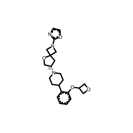 c1ccc(C2CCN([C@@H]3COC4(C3)CN(c3ncco3)C4)CC2)c(OC2COC2)c1